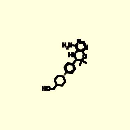 CC1(C)Oc2ncnc(N)c2NC1c1ccc([C@H]2CC[C@H](CO)CC2)cc1